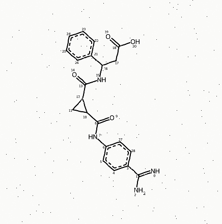 N=C(N)c1ccc(NC(=O)C2CC2C(=O)NC(CC(=O)O)c2ccccc2)cc1